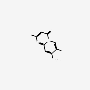 COc1cc2nc(C(F)(F)F)cc(=O)n2cc1Cl